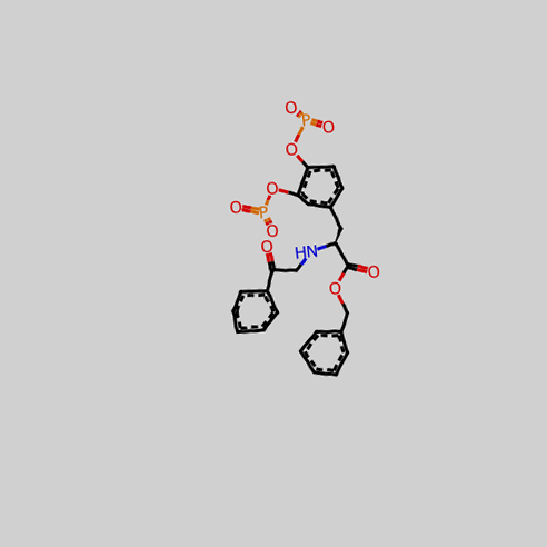 O=C(CN[C@@H](Cc1ccc(OP(=O)=O)c(OP(=O)=O)c1)C(=O)OCc1ccccc1)c1ccccc1